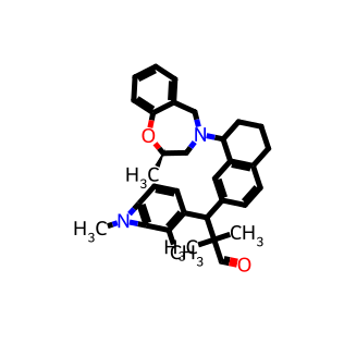 Cc1c(C(c2ccc3c(c2)C(N2Cc4ccccc4O[C@H](C)C2)CCC3)C(C)(C)C=O)ccc2c1N2C